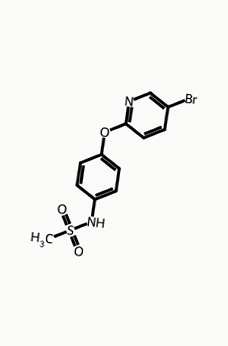 CS(=O)(=O)Nc1ccc(Oc2ccc(Br)cn2)cc1